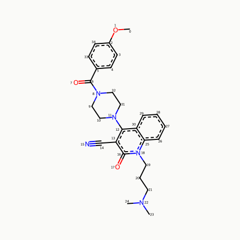 COc1ccc(C(=O)N2CCN(c3c(C#N)c(=O)n(CCCN(C)C)c4ccccc34)CC2)cc1